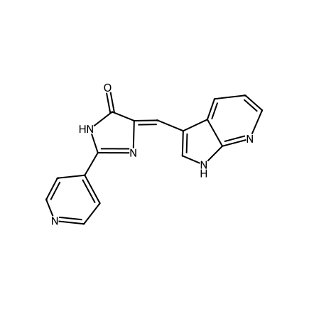 O=C1NC(c2ccncc2)=N/C1=C\c1c[nH]c2ncccc12